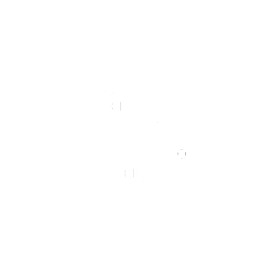 CC(C[O])(C(F)(F)F)C(F)(F)F